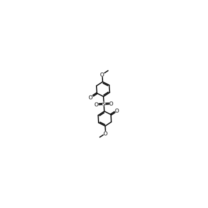 COC1=CC=C(S(=O)(=O)C2=CC=C(OC)CC2=O)C(=O)C1